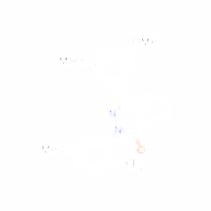 COc1cc(OC)cc(-c2nn(-c3cc(OC)ccc3C(F)(F)F)c(=O)c3c2CCC3)c1